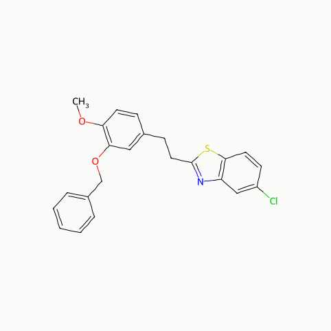 COc1ccc(CCc2nc3cc(Cl)ccc3s2)cc1OCc1ccccc1